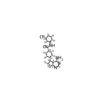 Cc1sc2ncnc(N)c2c1-c1ccc(C(=O)Nc2cccc(Cl)c2)cc1